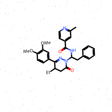 CCC1CC(=O)N(C(Cc2ccccc2)NC(=O)c2ccnc(C)c2)N=C1c1ccc(OC)c(OC)c1